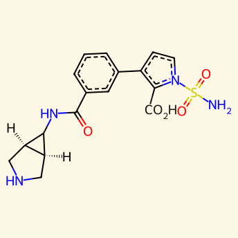 NS(=O)(=O)n1ccc(-c2cccc(C(=O)NC3[C@H]4CNC[C@@H]34)c2)c1C(=O)O